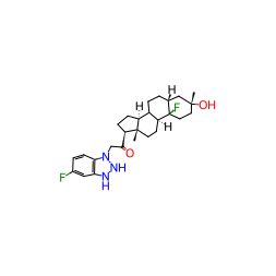 C[C@@]1(O)CC[C@@]2(F)[C@H](CCC3[C@@H]4CC[C@H](C(=O)CN5NNc6cc(F)ccc65)[C@@]4(C)CC[C@@H]32)C1